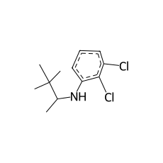 CC(Nc1cccc(Cl)c1Cl)C(C)(C)C